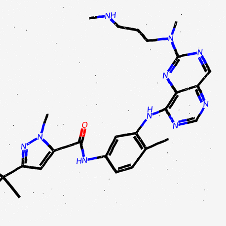 CNCCCN(C)c1ncc2ncnc(Nc3cc(NC(=O)c4cc(C(C)(C)C)nn4C)ccc3C)c2n1